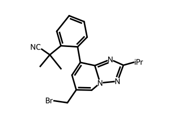 CC(C)c1nc2c(-c3ccccc3C(C)(C)C#N)cc(CBr)cn2n1